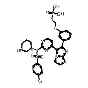 O=P(O)(O)OCOc1cccc(-c2nc3sccn3c2-c2ccnc(N([C@@H]3CCCNC3)S(=O)(=O)c3ccc(Cl)cc3)n2)c1